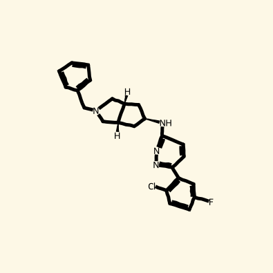 Fc1ccc(Cl)c(-c2ccc(N[C@H]3C[C@@H]4CN(Cc5ccccc5)C[C@@H]4C3)nn2)c1